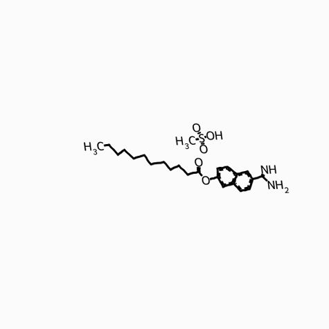 CCCCCCCCCCCC(=O)Oc1ccc2cc(C(=N)N)ccc2c1.CS(=O)(=O)O